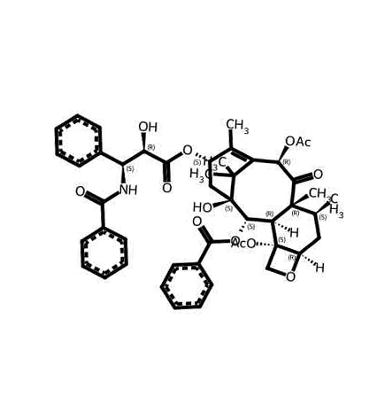 CC(=O)O[C@H]1C(=O)[C@@]2(C)[C@H]([C@H](OC(=O)c3ccccc3)[C@]3(O)C[C@H](OC(=O)[C@H](O)[C@@H](NC(=O)c4ccccc4)c4ccccc4)C(C)=C1C3(C)C)[C@]1(OC(C)=O)CO[C@@H]1C[C@@H]2C